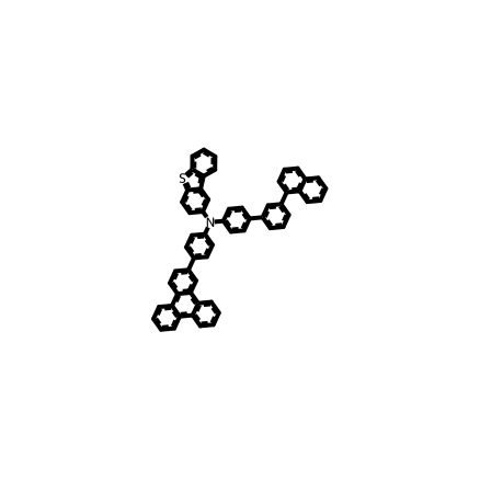 c1cc(-c2ccc(N(c3ccc(-c4ccc5c6ccccc6c6ccccc6c5c4)cc3)c3ccc4sc5ccccc5c4c3)cc2)cc(-c2cccc3ccccc23)c1